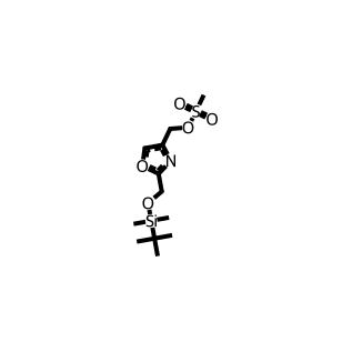 CC(C)(C)[Si](C)(C)OCc1nc(COS(C)(=O)=O)co1